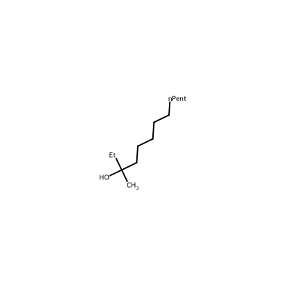 CCCCCCCCCCC(C)(O)CC